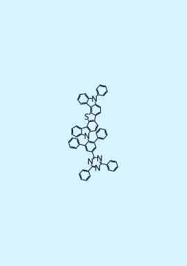 c1ccc(-c2nc(-c3ccccc3)nc(-c3cc(-c4ccccc4)c(-n4c5ccccc5c5c6sc7c(ccc8c7c7ccccc7n8-c7ccccc7)c6ccc54)c(-c4ccccc4)c3)n2)cc1